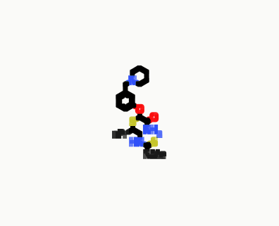 CCCC(CNC(=S)NC)SC(Oc1cccc(CN2CCCCC2)c1)C(N)=O